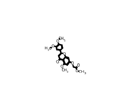 COC(=O)COc1cc(OC)c2c(=O)cc(-c3ccc(OC)c(OC)c3)oc2c1